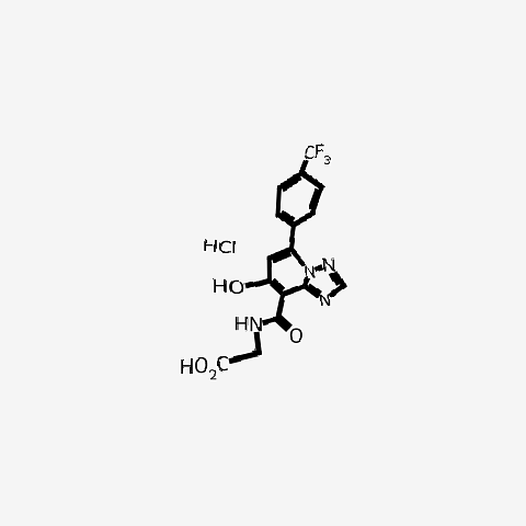 Cl.O=C(O)CNC(=O)c1c(O)cc(-c2ccc(C(F)(F)F)cc2)n2ncnc12